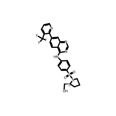 O=S(=O)(c1ccc(Nc2ncnc3cc(-c4ncccc4C(F)(F)F)ccc23)cc1)N1CCC[C@H]1CO